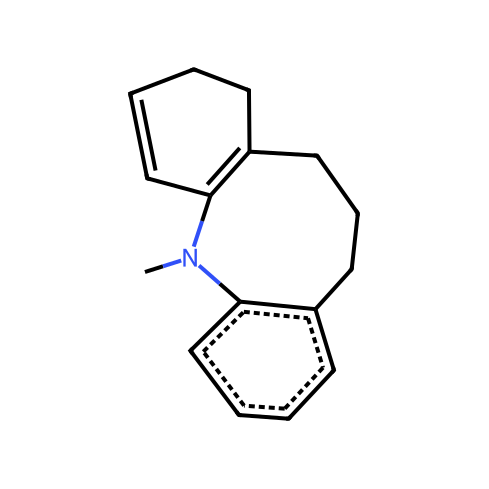 CN1C2=C(CCC=C2)CCCc2ccccc21